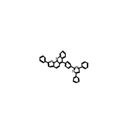 c1ccc(-c2cc(-c3ccccc3)nc(-c3ccc(-c4c5ccccc5nc5c4ccc4ccc(-c6ccccc6)nc45)cc3)n2)cc1